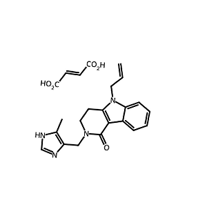 C=CCn1c2c(c3ccccc31)C(=O)N(Cc1nc[nH]c1C)CC2.O=C(O)C=CC(=O)O